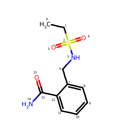 CCS(=O)(=O)NCc1ccccc1C(N)=O